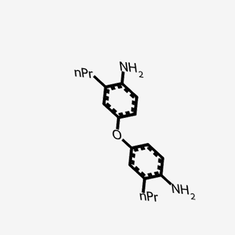 CCCc1cc(Oc2ccc(N)c(CCC)c2)ccc1N